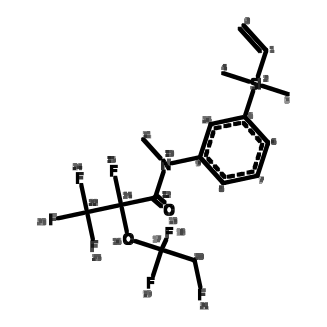 C=C[Si](C)(C)c1cccc(N(C)C(=O)C(F)(OC(F)(F)CF)C(F)(F)F)c1